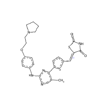 Cc1cnc(Nc2ccc(OCCN3CCCC3)cc2)nc1-c1ccc(/C=C2\SC(=O)NC2=O)s1